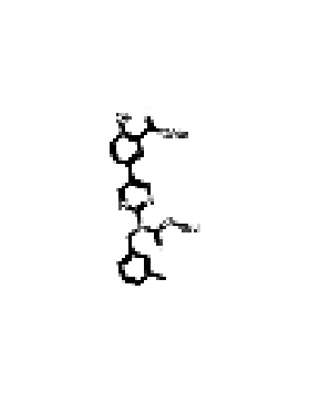 COC(=O)c1cc(-c2cnc(N(Cc3cccc(C)c3)C(=O)OC(C)(C)C)nc2)ccc1O